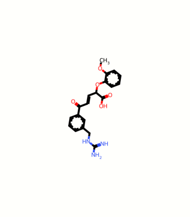 COc1ccccc1OC(C=CC(=O)c1cccc(CNC(=N)N)c1)C(=O)O